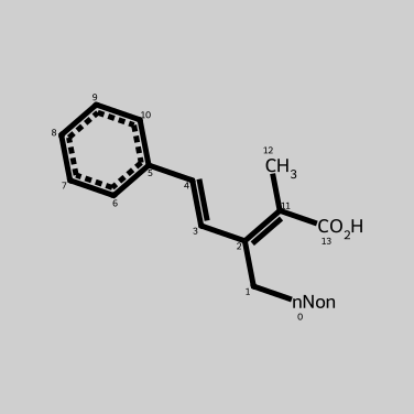 CCCCCCCCCCC(C=Cc1ccccc1)=C(C)C(=O)O